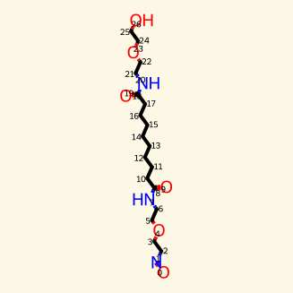 O=NCCOCCNC(=O)CCCCCCCCC(=O)NCCOCCO